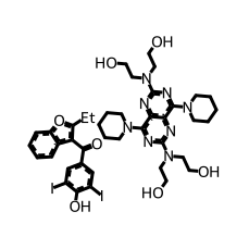 CCc1oc2ccccc2c1C(=O)c1cc(I)c(O)c(I)c1.OCCN(CCO)c1nc(N2CCCCC2)c2nc(N(CCO)CCO)nc(N3CCCCC3)c2n1